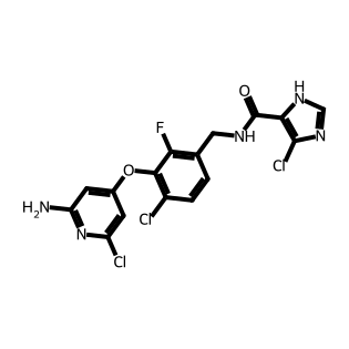 Nc1cc(Oc2c(Cl)ccc(CNC(=O)c3[nH]cnc3Cl)c2F)cc(Cl)n1